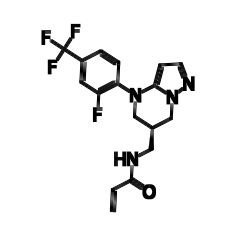 C=CC(=O)NC[C@H]1CN(c2ccc(C(F)(F)F)cc2F)c2ccnn2C1